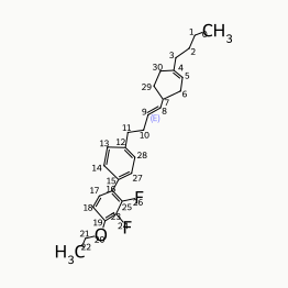 CCCCC1=CCC(/C=C/CCc2ccc(-c3ccc(OCC)c(F)c3F)cc2)CC1